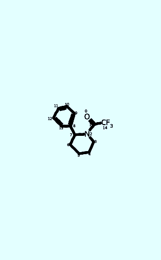 O=C(N1CCCCC1c1ccccc1)C(F)(F)F